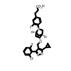 O=C(O)CCc1ccc(N2C[C@@H]3C[C@H]2C[C@H]3OCc2c(-c3c(F)cccc3Cl)noc2C2CC2)c(F)c1